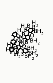 Bc1c(B)c(B)c2c(oc3c(B)c(B)c(-c4nc(-c5ccccc5-c5ccc(-c6ccccc6)cc5)nc(-c5c(B)c(B)c(B)c6c5oc5c(B)c(B)c(B)c(B)c56)n4)c(B)c32)c1B